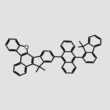 CC1(C)c2ccccc2-c2cccc(-c3c4ccccc4c(-c4ccc5c(c4)C(C)(C)c4c-5c5oc6ccccc6c5c5ccccc45)c4ccccc34)c21